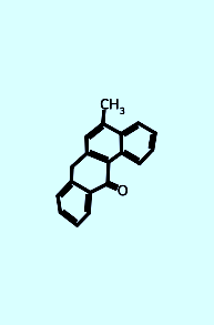 Cc1cc2c(c3ccccc13)C(=O)c1ccccc1C2